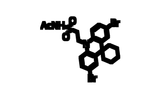 CC(=O)NS(=O)(=O)CCN1c2ccc(Br)cc2C2(CCCCC2)c2cc(Br)ccc21